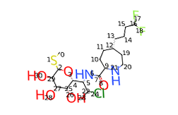 CS[C@H]1O[C@H]([C@H](NC(=O)C2CC[C@H](CCCC(F)F)CCN2)[C@H](C)Cl)[C@H](O)[C@H](O)[C@H]1O